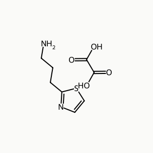 NCCCc1nccs1.O=C(O)C(=O)O